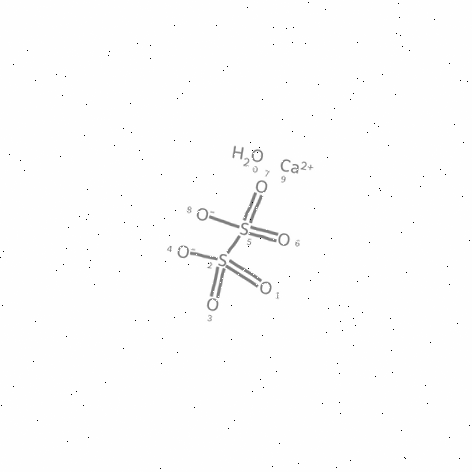 O.O=S(=O)([O-])S(=O)(=O)[O-].[Ca+2]